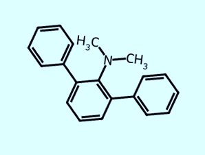 CN(C)c1c(-c2ccccc2)cccc1-c1ccccc1